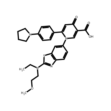 CCN(CCOC)c1nc2ccc(-n3cc(C(=O)O)c(=O)cc3-c3ccc(N4CCCC4)cc3)cc2s1